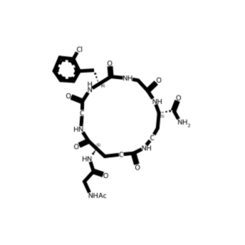 CC(=O)NCC(=O)N[C@H]1CCC(=O)NCC[C@@H](C(N)=O)NC(=O)CNC(=O)[C@@H](Cc2ccccc2Cl)NC(=O)CNC1=O